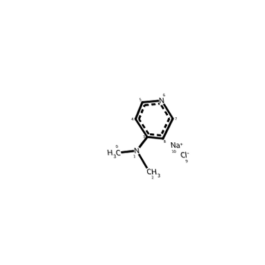 CN(C)c1ccncc1.[Cl-].[Na+]